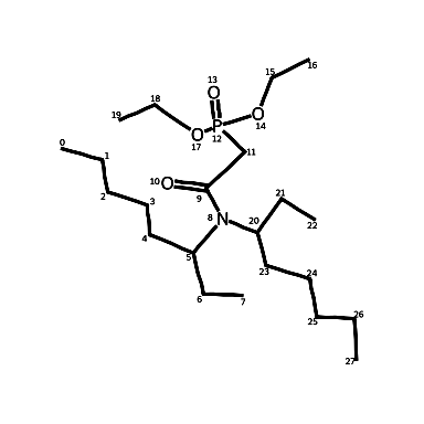 CCCCCC(CC)N(C(=O)CP(=O)(OCC)OCC)C(CC)CCCCC